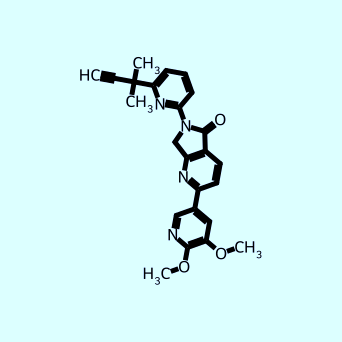 C#CC(C)(C)c1cccc(N2Cc3nc(-c4cnc(OC)c(OC)c4)ccc3C2=O)n1